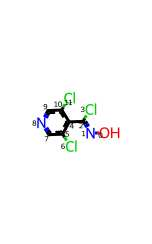 O/N=C(\Cl)c1c(Cl)cncc1Cl